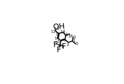 CC(C)CC1=C(C(F)(F)F)C=C(CO)CC1C